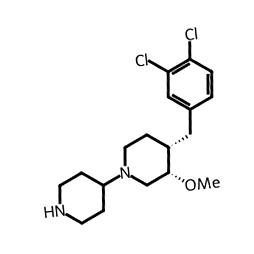 CO[C@@H]1CN(C2CCNCC2)CC[C@@H]1Cc1ccc(Cl)c(Cl)c1